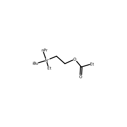 CCC[N+](CC)(CCOC(=O)CC)C(C)CC